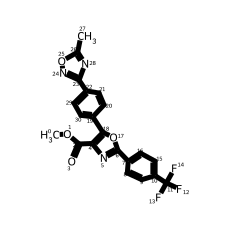 COC(=O)c1nc(-c2ccc(C(F)(F)F)cc2)oc1-c1ccc(-c2noc(C)n2)cc1